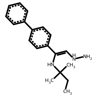 CCC(C)(C)N/C(=C\NN)c1ccc(-c2ccccc2)cc1